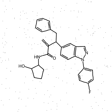 C=C(C(=O)NC1CCCC1O)C(Cc1ccccc1)c1ccc2c(cnn2-c2ccc(F)cc2)c1